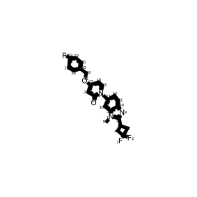 Cn1c(C2CC(F)(F)C2)nc2ccc(-n3ccc(OCc4ccc(F)cc4)cc3=O)cc21